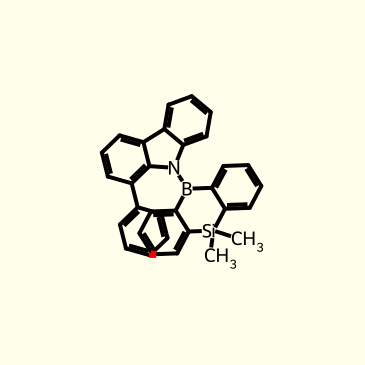 C[Si]1(C)c2ccccc2B(n2c3ccccc3c3cccc(-c4ccccc4)c32)c2ccccc21